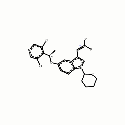 C[C@@H](Oc1ccc2c(c1)c(/C=C(\F)Br)nn2C1CCCCO1)c1c(Cl)cncc1Cl